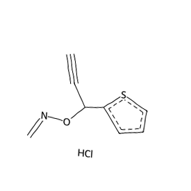 C#CC(ON=C)c1cccs1.Cl